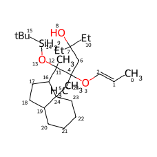 CC=COC(C)(CC(O)(CC)CC)C(C)(O[SiH2]C(C)(C)C)C1CCC2CCCCC21C